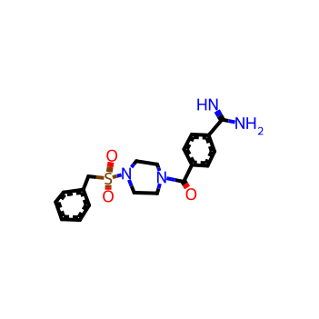 N=C(N)c1ccc(C(=O)N2CCN(S(=O)(=O)Cc3ccccc3)CC2)cc1